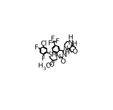 CO[C@H]1Cn2c(=O)nc(N3CCN[C@H]4COC[C@H]43)c3cc(C(F)(F)F)cc(c32)[SH](c2cc(Cl)c(F)cc2F)C1